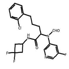 O=CN(c1cncc(F)c1)C(CCCc1ccccc1Cl)C(=O)NC1CC(F)(F)C1